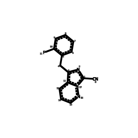 N#Cc1nc(Cc2ccccc2F)c2cccnn12